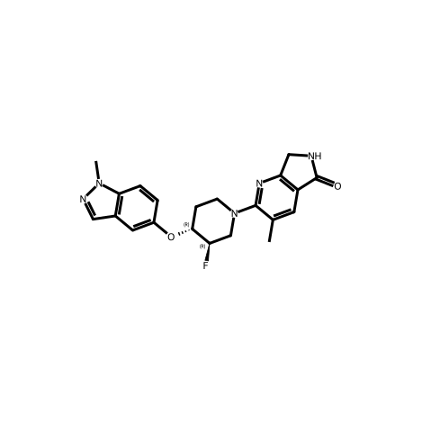 Cc1cc2c(nc1N1CC[C@@H](Oc3ccc4c(cnn4C)c3)[C@H](F)C1)CNC2=O